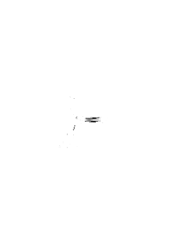 O=S([O-])[O-].[Sn+2]